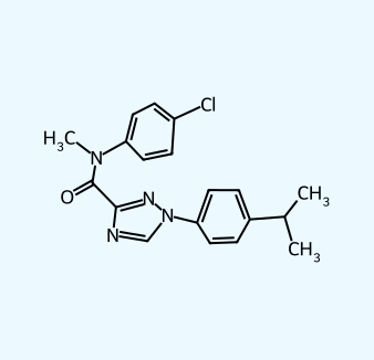 CC(C)c1ccc(-n2cnc(C(=O)N(C)c3ccc(Cl)cc3)n2)cc1